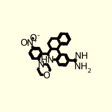 N=C(N)c1ccc2c(c1)C1c3ccccc3CCC1C(c1cc([N+](=O)[O-])ccc1N1CCOCC1)N2